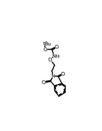 CC(C)(C)OC(=O)NOCCN1C(=O)c2ccccc2C1=O